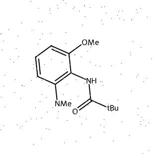 CNc1cccc(OC)c1NC(=O)C(C)(C)C